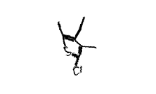 Cc1sc(Cl)c(C)c1C